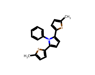 Cc1ccc(-c2ccc(-c3ccc(C)s3)n2-c2ccccc2)s1